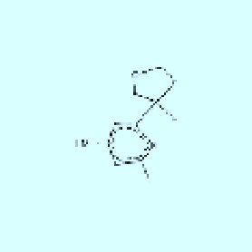 Cc1cc(O)cc(C2(C)CCOC2)n1